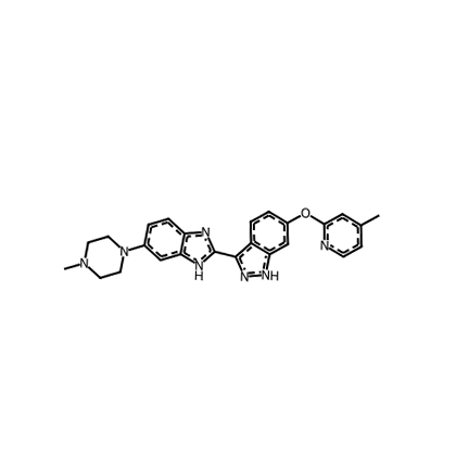 Cc1ccnc(Oc2ccc3c(-c4nc5ccc(N6CCN(C)CC6)cc5[nH]4)n[nH]c3c2)c1